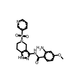 COc1ccc(C(=O)Nc2n[nH]c3c2CN(S(=O)(=O)c2cccnc2)CC3)c(N)c1